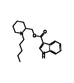 CCCCCN1CCCCC1COC(=O)c1c[nH]c2ccccc12